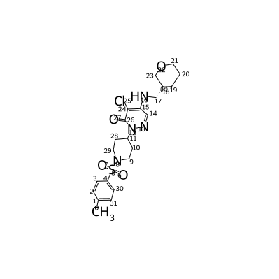 Cc1ccc(S(=O)(=O)N2CCC(n3ncc(NC[C@H]4CCCOC4)c(Cl)c3=O)CC2)cc1